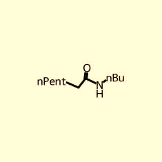 [CH2]CCCNC(=O)CCCCCC